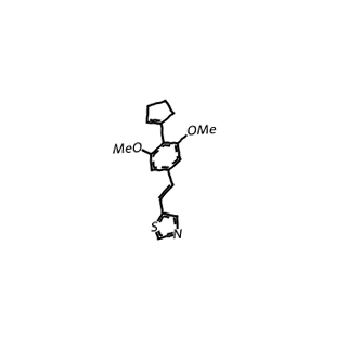 COc1cc(C=Cc2cncs2)cc(OC)c1C1=CCCC1